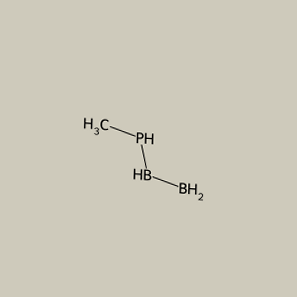 BBPC